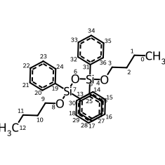 CCCCO[Si](O[Si](OCCCC)(c1ccccc1)c1ccccc1)(c1ccccc1)c1ccccc1